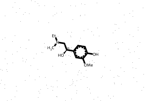 CCN(C)C[C@H](O)c1ccc(O)c(OC)c1